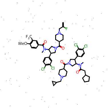 C=C(F)CN1CCC(C(=O)N2CC(c3ccc(Cl)c(Cl)c3)C(N(C)C(=O)c3ccc(OC)c(C(F)(F)F)c3)C2)CC1.CN(C(=O)CC1CCCC1)C1CN(C(=O)C2CCN(CC3CC3)CC2)CC1c1ccc(Cl)c(Cl)c1